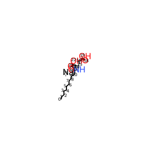 CCCCCCCCCCCC(=O)N[C@@H](CCC(=O)O)C(=O)O.[Na]